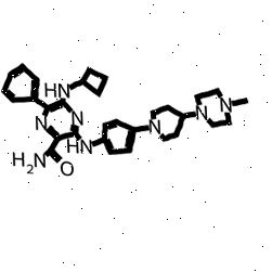 CN1CCN(C2CCN(c3ccc(Nc4nc(NC5CCC5)c(-c5ccccc5)nc4C(N)=O)cc3)CC2)CC1